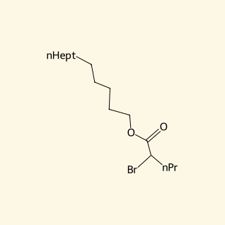 CCCCCCCCCCCCOC(=O)C(Br)CCC